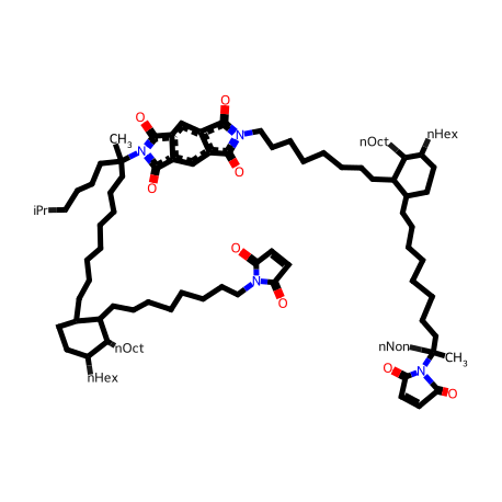 CCCCCCCCCC(C)(CCCCCCCCC1CCC(CCCCCC)C(CCCCCCCC)C1CCCCCCCCn1c(=O)c2cc3c(=O)n(C(C)(CCCCCCCCC4CCC(CCCCCC)C(CCCCCCCC)C4CCCCCCCCN4C(=O)C=CC4=O)CCCCC(C)C)c(=O)c3cc2c1=O)N1C(=O)C=CC1=O